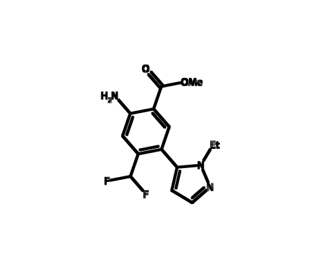 CCn1nccc1-c1cc(C(=O)OC)c(N)cc1C(F)F